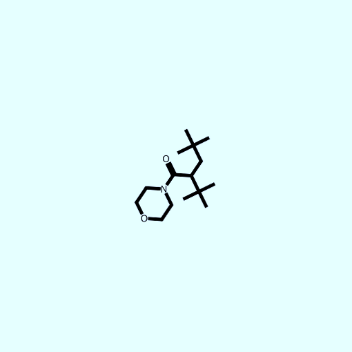 CC(C)(C)CC(C(=O)N1CCOCC1)C(C)(C)C